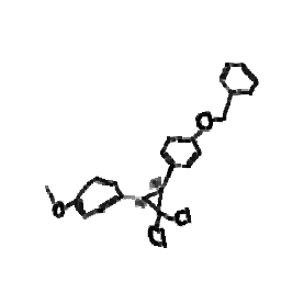 COc1ccc([C@@H]2[C@@H](c3ccc(OCc4ccccc4)cc3)C2(Cl)Cl)cc1